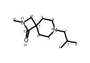 CC(C)CN1CCC2(CC1)CN(C)C2=O